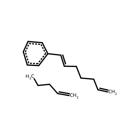 C=CCCC.C=CCCCC=Cc1ccccc1